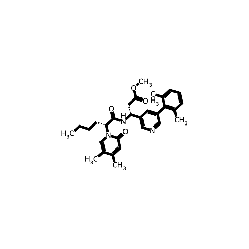 CCCC[C@H](C(=O)N[C@H](CC(=O)OC)c1cncc(-c2c(C)cccc2C)c1)n1cc(C)c(C)cc1=O